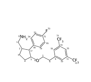 NCC1CCC(OCCc2cc(C(F)(F)F)cc(C(F)(F)F)c2)C1c1ccc(F)cc1